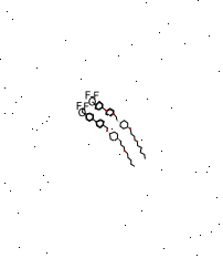 CCCCCCCCCC[C@H]1CC[C@H](CCc2ccc(-c3ccc(OC(F)F)cc3)cc2)CC1.CCCCCCCCC[C@H]1CC[C@H](CCc2ccc(-c3ccc(OC(F)F)cc3)cc2)CC1